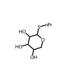 CCCSC1OCC(O)C(O)C1O